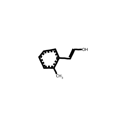 Cc1ccccc1/C=C/O